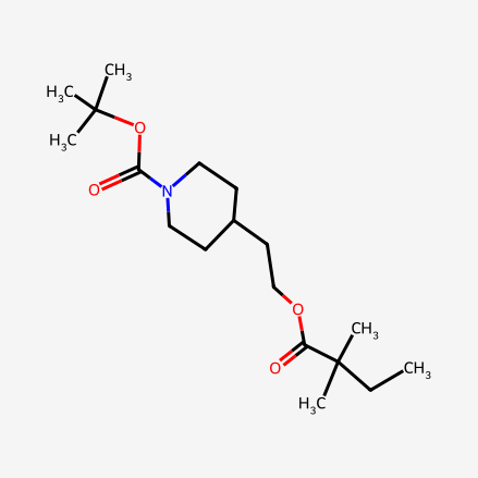 CCC(C)(C)C(=O)OCCC1CCN(C(=O)OC(C)(C)C)CC1